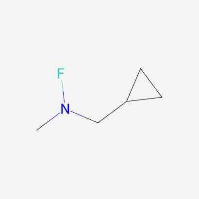 CN(F)CC1CC1